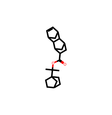 CC(C)(OC(=O)C1CC2CC1C1C3C=CC(C3)C21)C12CCC(CC1)C2